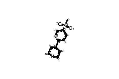 CS(=O)(=O)c1ccc(-c2ccncc2)nc1